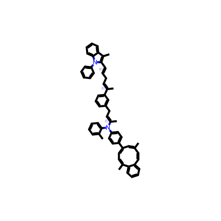 C/C(=C\C/C=C/c1c(C)c2ccccc2n1-c1ccccc1)c1cccc(C/C=C(\C)N(c2ccc(-c3ccc(C)c4ccccc4ccc(C)c3)cc2)c2ccccc2C)c1